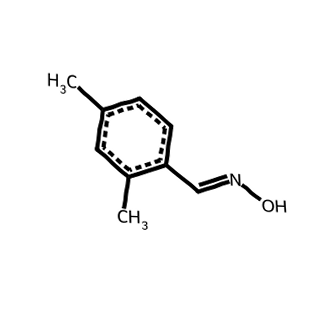 Cc1ccc(C=NO)c(C)c1